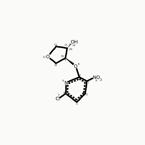 O=[N+]([O-])c1ccc(Cl)nc1O[C@H]1COC[C@@H]1O